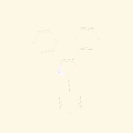 Cc1ccc(-c2oc(-c3ccccc3)nc2-c2ccccc2)cc1